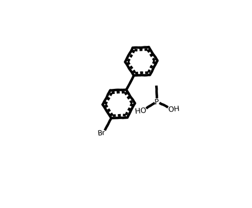 Brc1ccc(-c2ccccc2)cc1.CP(O)O